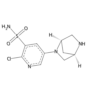 NS(=O)(=O)c1cc(N2C[C@H]3C[C@@H]2CN3)cnc1Cl